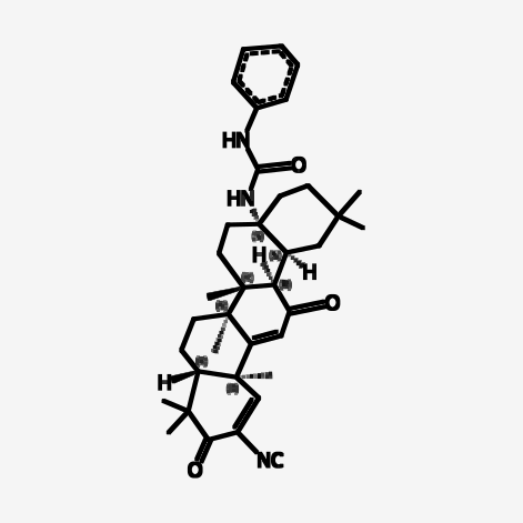 [C-]#[N+]C1=C[C@]2(C)C3=CC(=O)[C@@H]4[C@@H]5CC(C)(C)CC[C@]5(NC(=O)Nc5ccccc5)CC[C@@]4(C)[C@]3(C)CC[C@H]2C(C)(C)C1=O